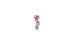 CC(C)(C)OC(=O)N1CCCc2cc(OCCCN3CCCCC3)ccc2C1